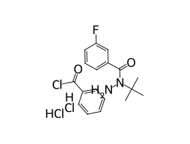 CC(C)(C)N(N)C(=O)c1cccc(F)c1.Cl.Cl.O=C(Cl)c1ccccc1